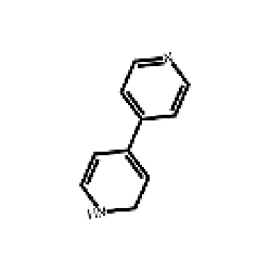 C1=CC(c2ccncc2)=CCN1